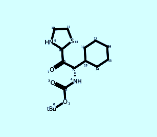 CC(C)(C)OC(=O)N[C@H](C(=O)C1NCCS1)C1CCCCC1